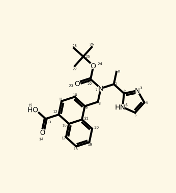 CC(c1ncc[nH]1)N(Cc1ccc(C(=O)O)c2ccccc12)C(=O)OC(C)(C)C